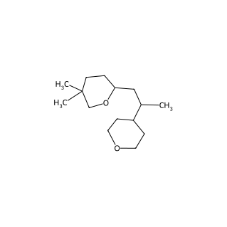 CC(CC1CCC(C)(C)CO1)C1CCOCC1